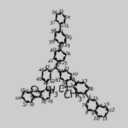 CC1(C)c2cc(-c3ccc4ccccc4c3)ccc2-c2ccc(C(c3ccc(-c4ccc(-c5ccccc5)cc4)cc3)c3cccc(-c4cccc5c4oc4ccccc45)c3)cc21